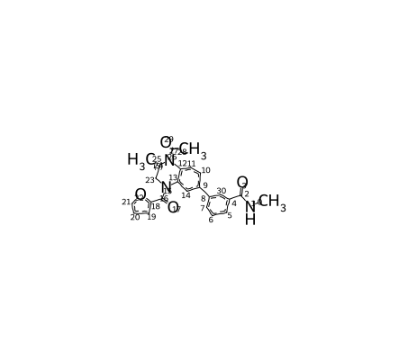 CNC(=O)c1cccc(-c2ccc3c(c2)N(C(=O)c2ccco2)C[C@H](C)N3C(C)=O)c1